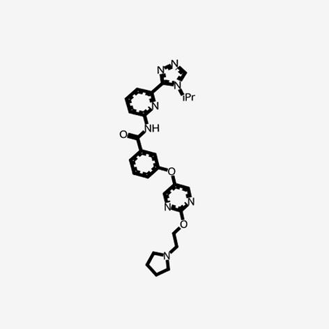 CC(C)n1cnnc1-c1cccc(NC(=O)c2cccc(Oc3cnc(OCCN4CCCC4)nc3)c2)n1